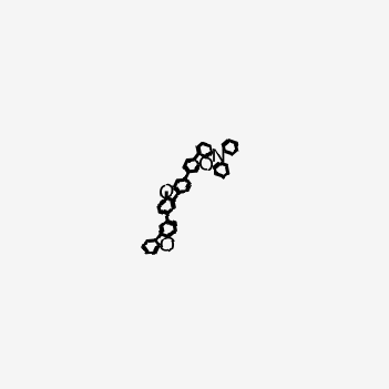 c1ccc(N(c2ccccc2)c2cccc3c2oc2cc(-c4ccc5c(c4)oc4ccc(-c6ccc7oc8ccccc8c7c6)cc45)ccc23)cc1